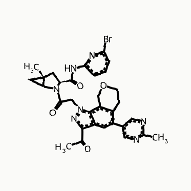 CC(=O)c1nn(CC(=O)N2C3C[C@]3(C)C[C@H]2C(=O)Nc2cccc(Br)n2)c2c3c(c(-c4cnc(C)nc4)cc12)CCOC3